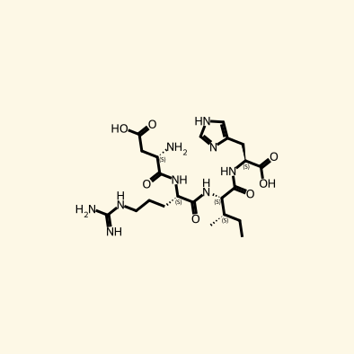 CC[C@H](C)[C@H](NC(=O)[C@H](CCCNC(=N)N)NC(=O)[C@@H](N)CC(=O)O)C(=O)N[C@@H](Cc1c[nH]cn1)C(=O)O